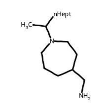 CCCCCCCC(C)N1CCCC(CN)CC1